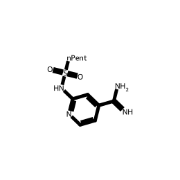 CCCCCS(=O)(=O)Nc1cc(C(=N)N)ccn1